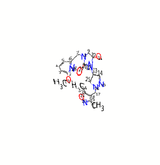 COc1cccc(CN2CC(=O)N(C3C=NN(Cc4c(C)noc4C)C3)C2=O)n1